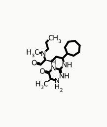 CCCN(C)[C@H](C=O)CCC(NC(=N)NC(=O)[C@H](C)N)C1CCCCCC1